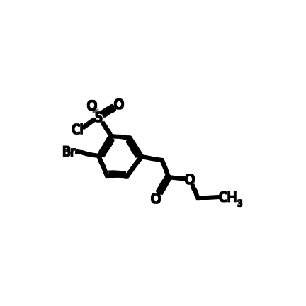 CCOC(=O)Cc1ccc(Br)c(S(=O)(=O)Cl)c1